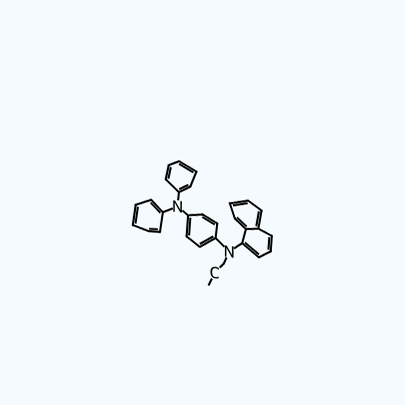 CCCN(c1ccc(N(c2ccccc2)c2ccccc2)cc1)c1cccc2ccccc12